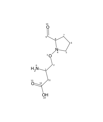 NC(CON1CCCC1C=O)CC(=O)O